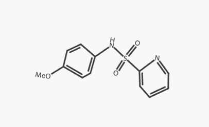 COc1ccc(NS(=O)(=O)c2ccccn2)cc1